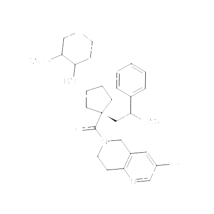 COC(C[C@]1(C(=O)N2CCc3ncc(C(F)(F)F)cc3C2)CC[C@@H](NC2CCOCC2OC)C1)c1ccccc1